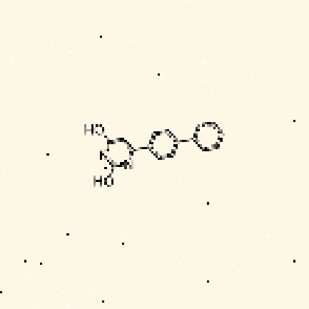 Oc1cc(-c2ccc(-c3ccccc3)cc2)nc(O)n1